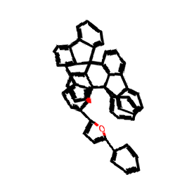 c1ccc(-c2ccc(-c3ccc(-c4cccc5c4C4(c6ccccc6-5)c5ccccc5C5(c6ccccc6)c6ccccc6-c6cccc4c65)cc3)o2)cc1